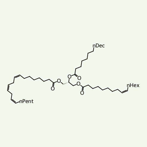 CCCCC/C=C\C/C=C\C/C=C\CCCCCCC(=O)OC[C@@H](COC(=O)CCCCCCC/C=C\CCCCCC)OC(=O)CCCCCCCCCCCCCCCC